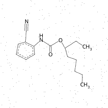 CCCCCC(CC)OC(=O)Nc1ccccc1C#N